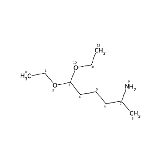 CCOC(CCCC(C)N)OCC